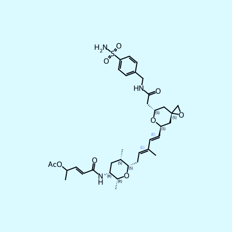 CC(=O)OC(C)C=CC(=O)N[C@@H]1C[C@H](C)[C@H](C/C=C(C)/C=C/[C@@H]2C[C@]3(CO3)C[C@@H](CC(=O)NCc3ccc(S(N)(=O)=O)cc3)O2)O[C@@H]1C